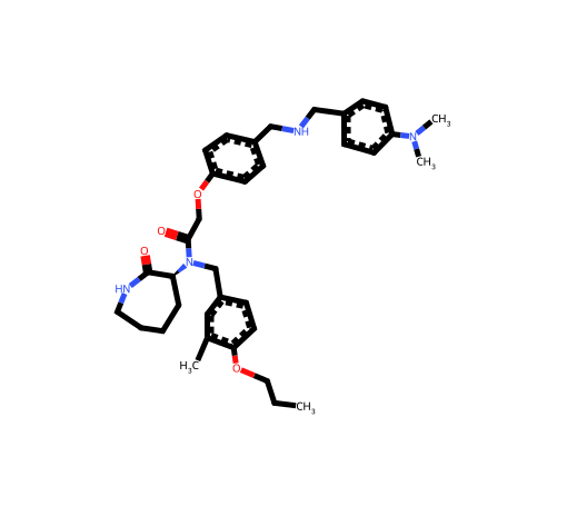 CCCOc1ccc(CN(C(=O)COc2ccc(CNCc3ccc(N(C)C)cc3)cc2)[C@H]2CCCCNC2=O)cc1C